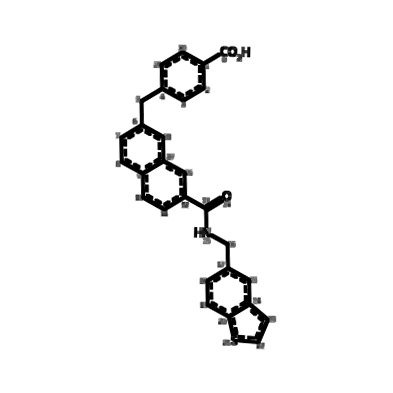 O=C(O)c1ccc(Cc2ccc3ccc(C(=O)NCc4ccc5sccc5c4)cc3c2)cc1